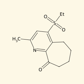 CCS(=O)(=O)c1cc(C)nc2c1CCCCC2=O